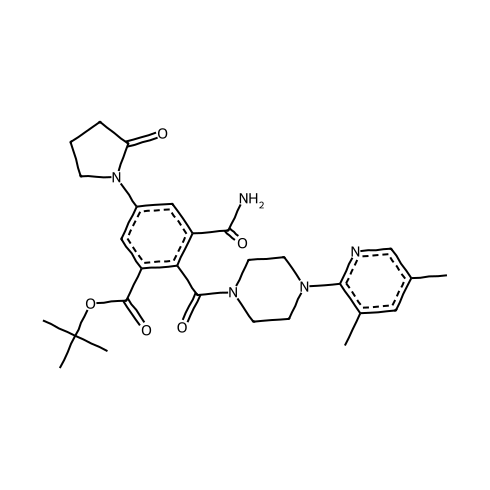 Cc1cnc(N2CCN(C(=O)c3c(C(N)=O)cc(N4CCCC4=O)cc3C(=O)OC(C)(C)C)CC2)c(C)c1